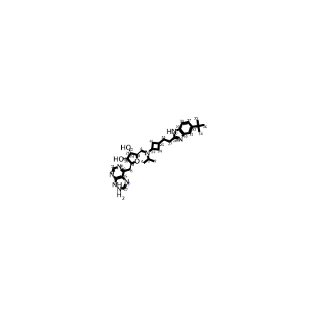 CC(C)N(C[C@H]1O[C@@H](Cc2ncnc(N)c2/N=C\N)[C@H](O)[C@@H]1O)C1CC(CCc2nc3cc(C(C)(C)C)ccc3[nH]2)C1